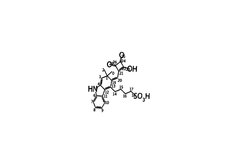 CC1(C)C=c2[nH]c3ccccc3c2=C(CCCCS(=O)(=O)O)C1=Cc1c(O)c(=O)c1=O